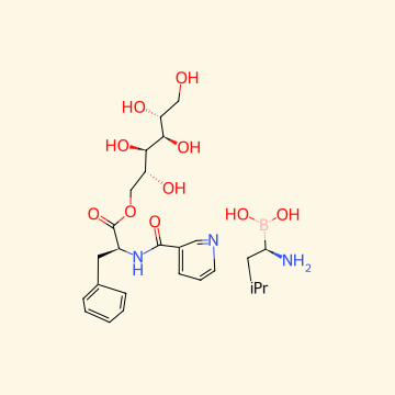 CC(C)C[C@H](N)B(O)O.O=C(N[C@@H](Cc1ccccc1)C(=O)OC[C@@H](O)[C@@H](O)[C@H](O)[C@H](O)CO)c1cccnc1